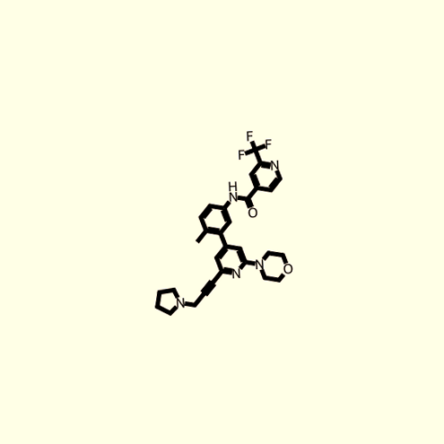 Cc1ccc(NC(=O)c2ccnc(C(F)(F)F)c2)cc1-c1cc(C#CCN2CCCC2)nc(N2CCOCC2)c1